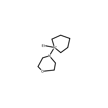 CC[N+]1(N2CCOCC2)CCCCC1